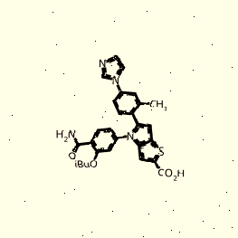 Cc1cc(-n2ccnc2)ccc1-c1cc2sc(C(=O)O)cc2n1-c1ccc(C(N)=O)c(OCC(C)C)c1